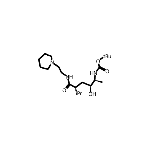 CC(C)[C@H](C[C@H](O)[C@H](C)NC(=O)OC(C)(C)C)C(=O)NCCN1CCCCC1